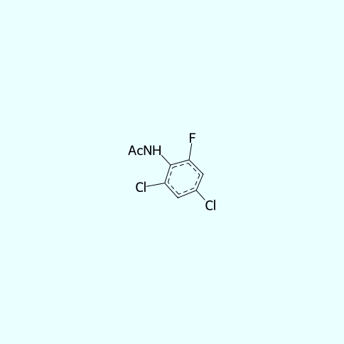 CC(=O)Nc1c(F)cc(Cl)cc1Cl